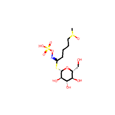 C[S+]([O-])CCCC/C(=N\OS(=O)(=O)O)S[C@@H]1O[C@H](CO)[C@@H](O)[C@H](O)[C@H]1O